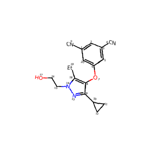 [C-]#[N+]c1cc(C#N)cc(Oc2c(C3CC3)nn(CCO)c2CC)c1